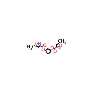 Cc1cc(C(=O)Oc2cccc(OC(=O)c3cc(C)on3)c2)no1